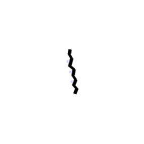 [CH]=C/C=C/C=C/C=C/C=C